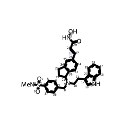 CNS(=O)(=O)c1ccc(CN(CCc2c[nH]c3ccccc23)C2CCc3cc(/C=C/C(=O)NO)ccc32)cc1